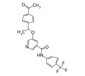 CC(=O)c1ccc(C(C)Oc2cncc(C(=O)Nc3ccc(C(F)(F)F)cc3)c2)cc1